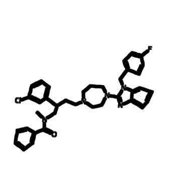 CN(CC(CCN1CCCN(c2nc3ccccc3n2Cc2ccc(F)cc2)CC1)c1cccc(Cl)c1)C(=O)c1ccccc1